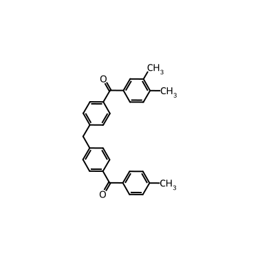 Cc1ccc(C(=O)c2ccc(Cc3ccc(C(=O)c4ccc(C)c(C)c4)cc3)cc2)cc1